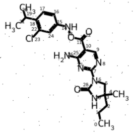 CCCC1(C)CN(c2ncc(C(=O)ONc3ccc(C(C)C)c(Cl)c3)c(N)n2)C(=O)N1